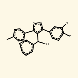 Cc1ccc(-c2onc(-c3ccc(Cl)c(Cl)c3)c2C(O)c2cccnc2)cc1